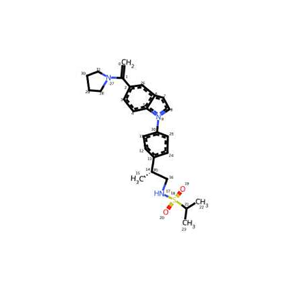 C=C(c1ccc2c(ccn2-c2ccc([C@@H](C)CNS(=O)(=O)C(C)C)cc2)c1)N1CCCC1